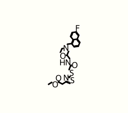 CCOC(=O)Cc1csc(SCC(=O)NCC2CN(Cc3cccc4cc(F)ccc34)CCO2)n1